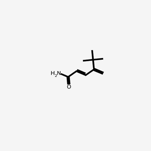 C=C(/C=C/C(N)=O)C(C)(C)C